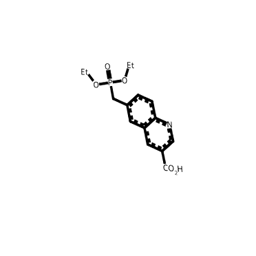 CCOP(=O)(Cc1ccc2ncc(C(=O)O)cc2c1)OCC